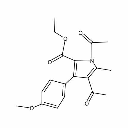 CCOC(=O)c1c(-c2ccc(OC)cc2)c(C(C)=O)c(C)n1C(C)=O